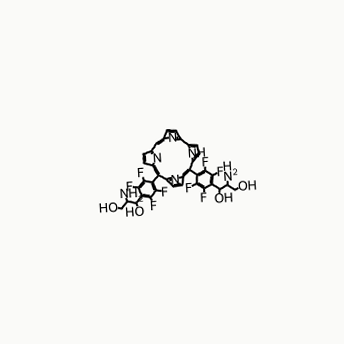 NC(CO)C(O)c1c(F)c(F)c(C2=C3C=CC(=N3)C=C3C=CC(=N3)c3ccc([nH]3)C(c3c(F)c(F)c(C(O)C(N)CO)c(F)c3F)=C3C=CC2=N3)c(F)c1F